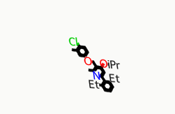 CCc1cccc(CC)c1-c1cc(OC(C)C)c(COc2ccc(Cl)c(C)c2)c(C)n1